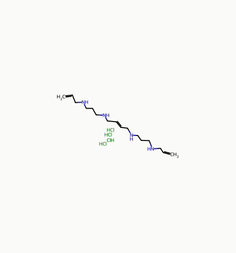 C=CCNCCCNC/C=C/CNCCCNCC=C.Cl.Cl.Cl.Cl